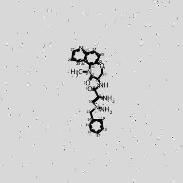 CN1C(=O)C(NC(=O)/C(N)=C/N(N)Cc2ccccc2)COc2ccc3ncccc3c21